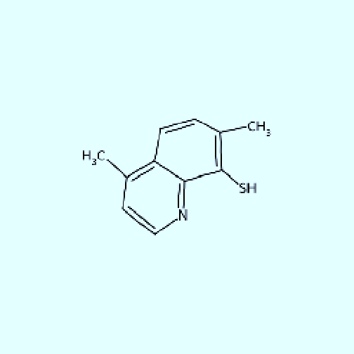 Cc1ccc2c(C)ccnc2c1S